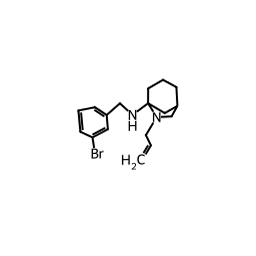 C=CCN1CC2CCCC1(NCc1cccc(Br)c1)C2